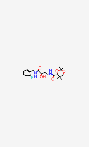 CC1(C)OCC(C)(C)[C@H](C(=O)NCCC(O)C(=O)NCc2ccccc2F)O1